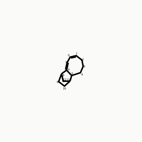 C1=CCCCC2C(=C1)C1CCC2C1